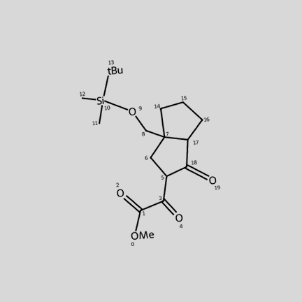 COC(=O)C(=O)C1CC2(CO[Si](C)(C)C(C)(C)C)CCCC2C1=O